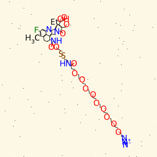 CC[C@@]1(O)C(=O)OCc2c1cc1n(c2=O)Cc2c-1nc1cc(F)c(C)c3c1c2[C@@H](NC(=O)OCCSSCCNC(=O)CCOCCOCCOCCOCCOCCOCCOCCOCCOCCN=[N+]=[N-])CC3